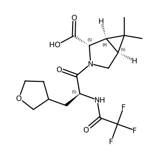 CC1(C)[C@@H]2[C@@H](C(=O)O)N(C(=O)[C@H](CC3CCOC3)NC(=O)C(F)(F)F)C[C@@H]21